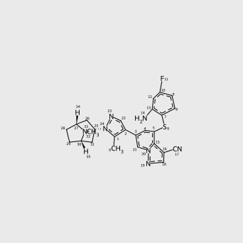 Cc1c(-c2cc(Sc3ccc(F)cc3N)c3c(C#N)cnn3c2)cnn1[C@H]1C[C@H]2CC[C@@H](C1)N2C